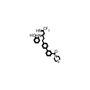 N=C(/C=C(/CCc1ccc(-c2cccc(C(=O)N3CCSCC3)c2)cc1)Nc1ccccc1O)C(F)(F)F